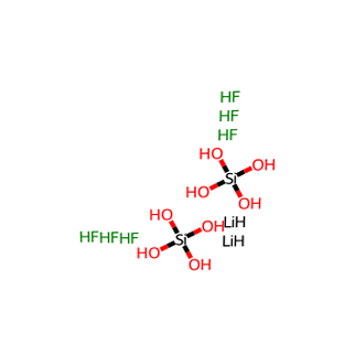 F.F.F.F.F.F.O[Si](O)(O)O.O[Si](O)(O)O.[LiH].[LiH]